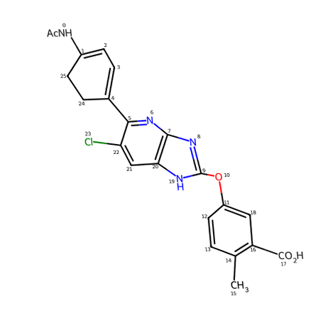 CC(=O)NC1=CC=C(c2nc3nc(Oc4ccc(C)c(C(=O)O)c4)[nH]c3cc2Cl)CC1